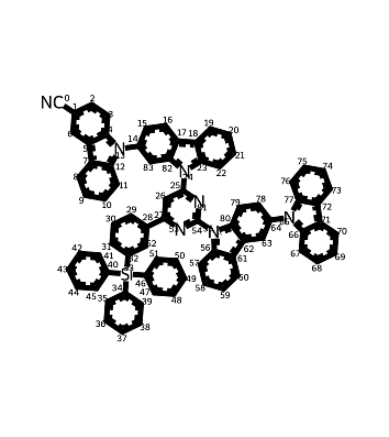 N#Cc1ccc2c(c1)c1ccccc1n2-c1ccc2c3ccccc3n(-c3cc(-c4cccc([Si](c5ccccc5)(c5ccccc5)c5ccccc5)c4)nc(-n4c5ccccc5c5cc(-n6c7ccccc7c7ccccc76)ccc54)n3)c2c1